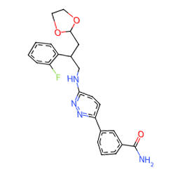 NC(=O)c1cccc(-c2ccc(NCC(CC3OCCO3)c3ccccc3F)nn2)c1